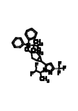 CC(C(F)F)n1nc(C(F)(F)F)cc1C1C2CC(O[Si](c3ccccc3)(c3ccccc3)C(C)(C)C)CC21